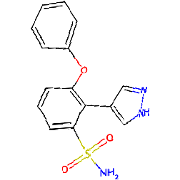 NS(=O)(=O)c1cccc(Oc2ccccc2)c1-c1cn[nH]c1